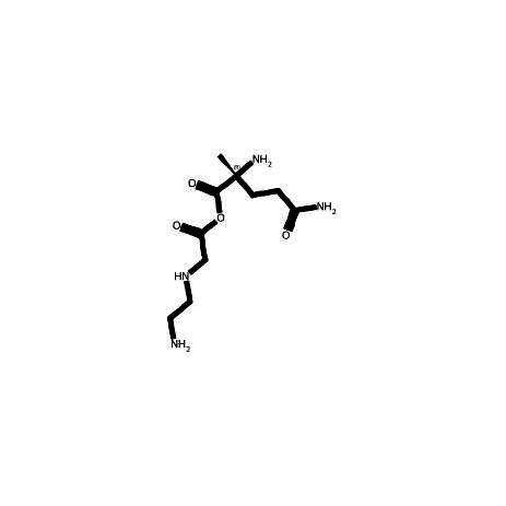 C[C@@](N)(CCC(N)=O)C(=O)OC(=O)CNCCN